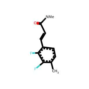 CNC(=O)/C=C/c1ccc(C)c(F)c1F